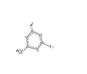 Cc1cc(F)cc(I)c1